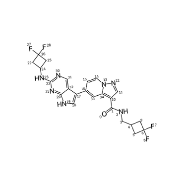 O=C(NCC1CC(F)(F)C1)c1cnn2ccc(-c3c[nH]c4nc(NC5CC(F)(F)C5)ncc34)cc12